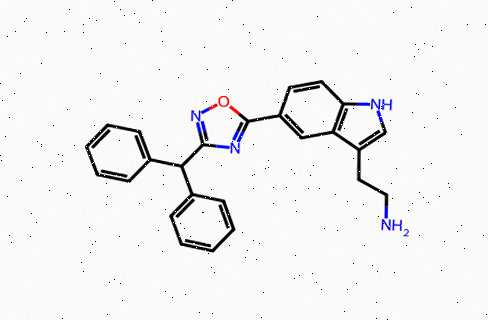 NCCc1c[nH]c2ccc(-c3nc(C(c4ccccc4)c4ccccc4)no3)cc12